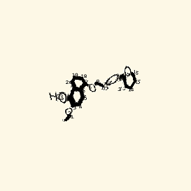 CCOc1ccc2c(OCCOC3CCCCO3)cccc2c1O